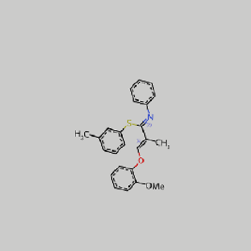 COc1ccccc1O/C=C(C)/C(=N/c1ccccc1)Sc1cccc(C)c1